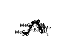 COC(=O)c1coc(COCCOc2cc(Nc3cc(Oc4ccc(NC(=O)Nc5cc(C(C)(C)C)cc(NS(C)(=O)=O)c5OC)c5ccccc45)ccn3)cc(OC)c2)c1